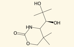 CC1(C)COC(=O)NC1[C@H](O)C(C)(C)O